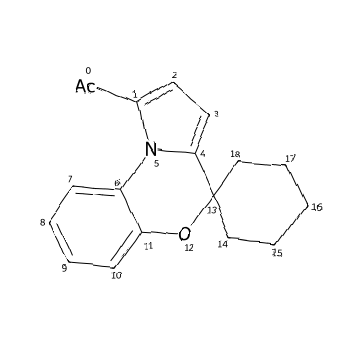 CC(=O)c1ccc2n1-c1ccccc1OC21CCCCC1